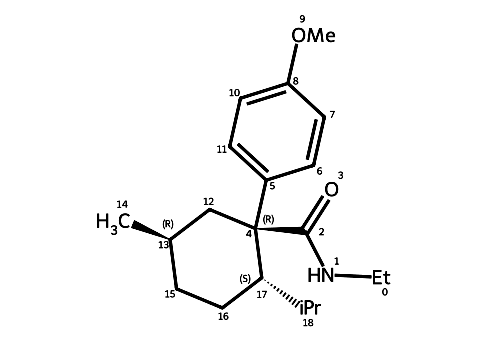 CCNC(=O)[C@]1(c2ccc(OC)cc2)C[C@H](C)CC[C@H]1C(C)C